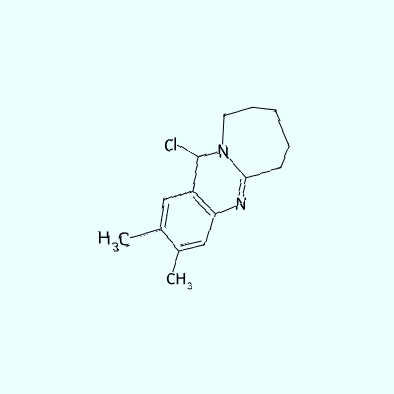 Cc1cc2c(cc1C)C(Cl)N1CCCCCC1=N2